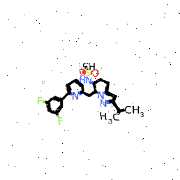 CC(C)c1cc2n(n1)C(Cc1cccc(-c3cc(F)cc(F)c3)n1)C(NS(C)(=O)=O)CC2